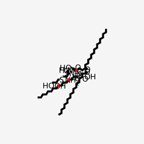 CCCCCCCCCCCCCCCC(=O)C(CCCN)[C@](C(=O)O)(C(=O)CCCCCCCCCCCCCCC)N(C(=O)CCCCCCCCCCCCCCC)C(=O)[C@H](CO)NC(=O)[C@@H](N)CSCC(O)CO